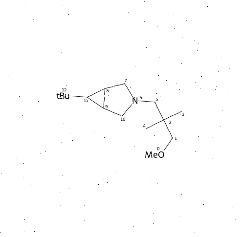 COCC(C)(C)CN1CC2C(C1)C2C(C)(C)C